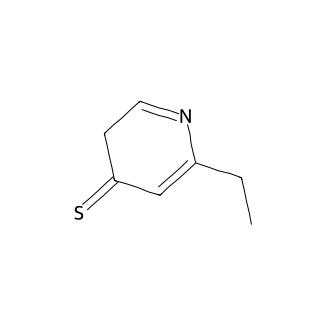 CCC1=CC(=S)CC=N1